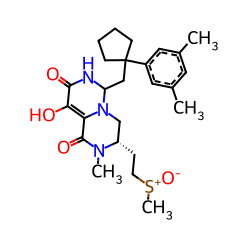 Cc1cc(C)cc(C2(CC3NC(=O)C(O)=C4C(=O)N(C)[C@@H](CC[S+](C)[O-])CN43)CCCC2)c1